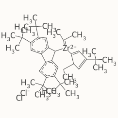 CCC1C=C(C(C)(C)C)C=[C]1[Zr+2](=[C](C)C)[CH]1c2cc(C(C)(C)C)c(C(C)(C)C)cc2-c2cc(C(C)(C)C)c(C(C)(C)C)cc21.[Cl-].[Cl-]